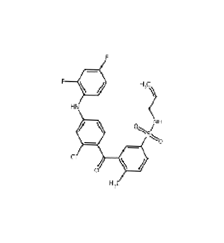 C=CCNS(=O)(=O)c1ccc(C)c(C(=O)c2ccc(Nc3ccc(F)cc3F)cc2Cl)c1